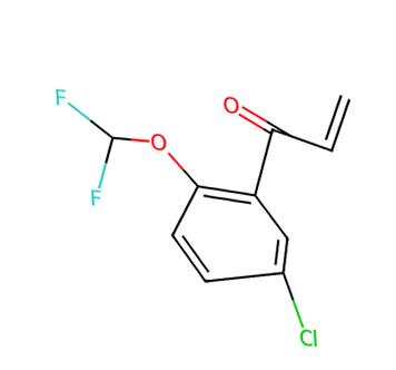 C=CC(=O)c1cc(Cl)ccc1OC(F)F